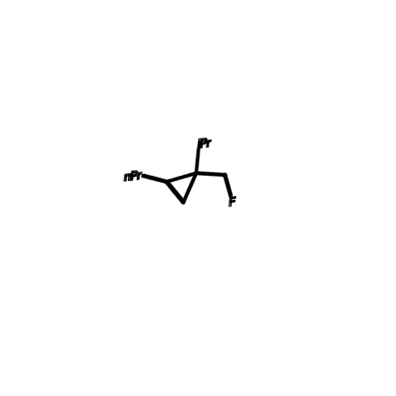 CCCC1CC1(CF)C(C)C